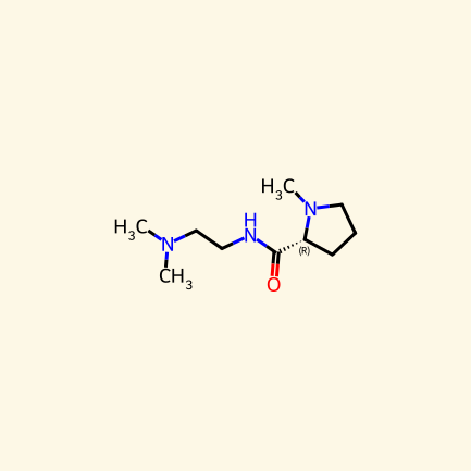 CN(C)CCNC(=O)[C@H]1CCCN1C